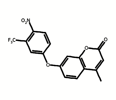 Cc1cc(=O)oc2cc(Oc3ccc([N+](=O)[O-])c(C(F)(F)F)c3)ccc12